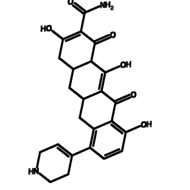 NC(=O)C1=C(O)CC2CC3Cc4c(C5=CCNCC5)ccc(O)c4C(=O)C3=C(O)C2C1=O